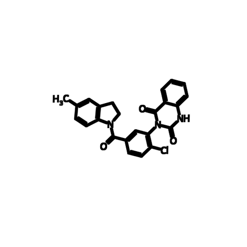 Cc1ccc2c(c1)CCN2C(=O)c1ccc(Cl)c(-n2c(=O)[nH]c3ccccc3c2=O)c1